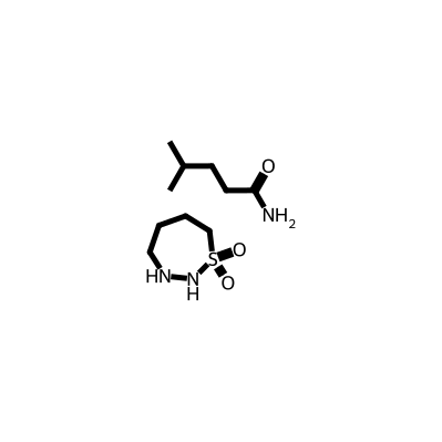 CC(C)CCC(N)=O.O=S1(=O)CCCCNN1